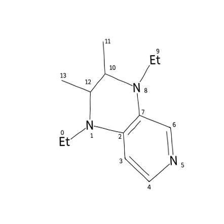 CCN1c2ccncc2N(CC)C(C)C1C